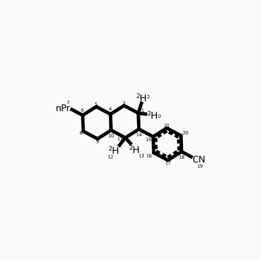 [2H]C1([2H])CC2CC(CCC)CCC2C([2H])([2H])C1c1ccc(C#N)cc1